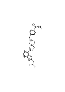 NC(=O)c1ccc(CN2CCC3(CCN(c4ncnc5sc(CC(F)F)cc45)C3)C2)cc1